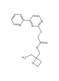 CCC1(COC(=O)CSc2nccc(-c3ccccn3)n2)CCO1